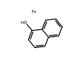 Oc1cccc2ccccc12.[Fe]